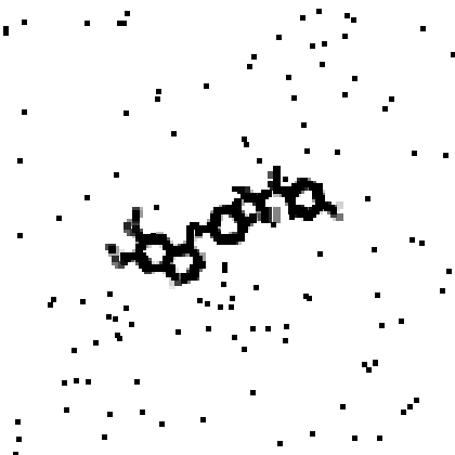 COc1cc2ncnc(Oc3ccc4[nH]c(Nc5ccc(Cl)cc5)nc4c3)c2cc1OC